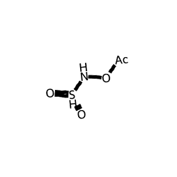 CC(=O)ON[SH](=O)=O